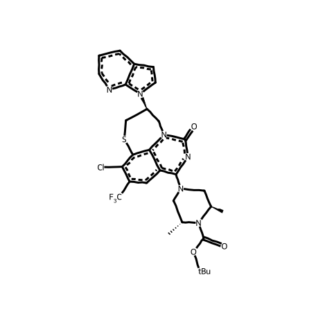 C[C@@H]1CN(c2nc(=O)n3c4c(c(Cl)c(C(F)(F)F)cc24)SC[C@@H](n2ccc4cccnc42)C3)C[C@@H](C)N1C(=O)OC(C)(C)C